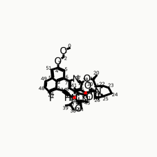 COCOc1cc(-c2cc3[nH]c(=O)nc4c3c(n2)OC(C)C2C3CCC(CN42)N3C(=O)O)c2c(C#C[Si](C(C)C)(C(C)C)C(C)C)c(F)ccc2c1